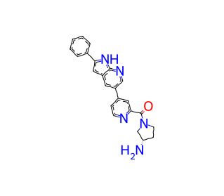 N[C@H]1CCN(C(=O)c2cc(-c3cnc4[nH]c(-c5ccccc5)cc4c3)ccn2)C1